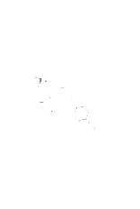 COC(=O)C1=COC(=O)[C@H]2[C@@H]1[C@H](OC(=O)c1ccc(N)cc1)C(=O)[C@]2(C)O